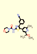 COC(C)c1cc(-c2sc(NC(=O)N3CCOCC3)nc2-c2cccc(C#N)c2)cc(C)n1